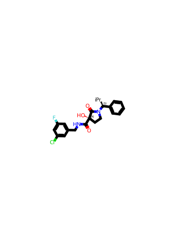 CC(C)[C@@H](c1ccccc1)N1CC[C@@](O)(C(=O)NCc2cc(F)cc(Cl)c2)C1=O